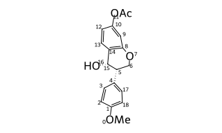 COc1ccc([C@H]2COc3cc(OC(C)=O)ccc3[C@H]2O)cc1